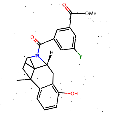 COC(=O)c1cc(F)cc(C(=O)N2CCC3(C)c4cccc(O)c4C[C@@H]2C3(C)C)c1